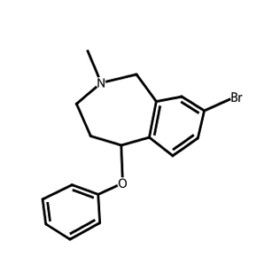 CN1CCC(Oc2ccccc2)c2ccc(Br)cc2C1